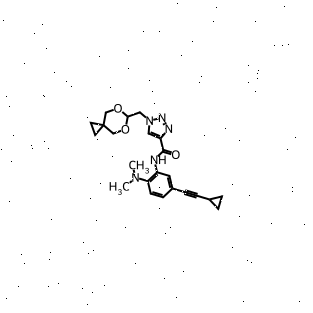 CN(C)c1ccc(C#CC2CC2)cc1NC(=O)c1cn(CC2OCC3(CC3)CO2)nn1